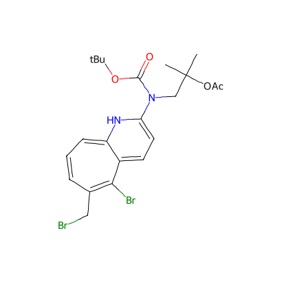 CC(=O)OC(C)(C)CN(C(=O)OC(C)(C)C)C1=CC=C2C(=CC=CC(CBr)=C2Br)N1